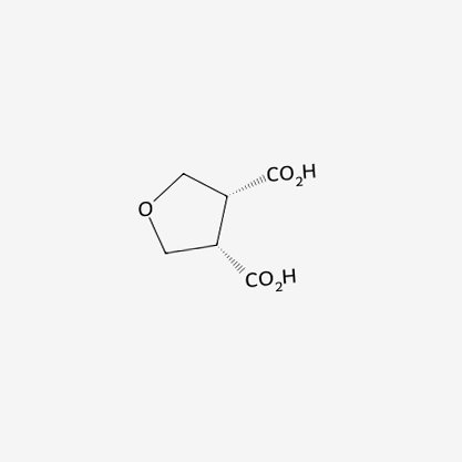 O=C(O)[C@H]1COC[C@H]1C(=O)O